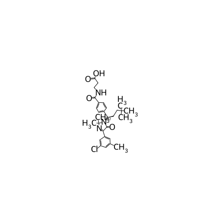 Cc1cc(Cl)cc(C2=NC(C)(C)N([C@H](CCC(C)(C)C)c3ccc(C(=O)NCCC(=O)O)cc3)C2=O)c1